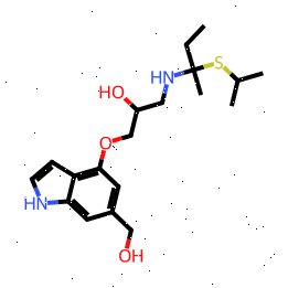 CCC(C)(NCC(O)COc1cc(CO)cc2[nH]ccc12)SC(C)C